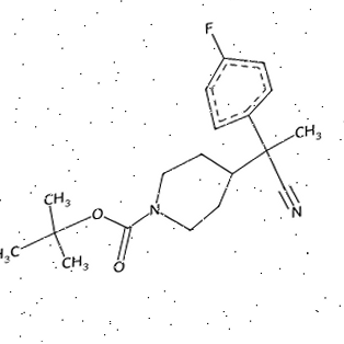 CC(C)(C)OC(=O)N1CCC(C(C)(C#N)c2ccc(F)cc2)CC1